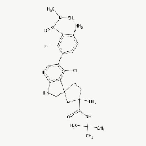 CN(C)C(=O)c1c(N)ccc(-c2cnc3c(c2Cl)C2(CCC(C)(C(=O)NC(C)(C)C)C2)CN3)c1F